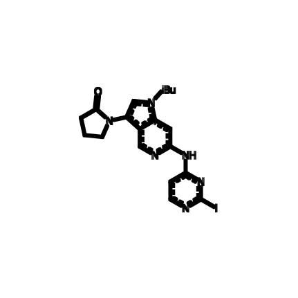 CCC(C)n1cc(N2CCCC2=O)c2cnc(Nc3ccnc(I)n3)cc21